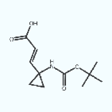 CC(C)(C)OC(=O)NC1(/C=C/C(=O)O)CC1